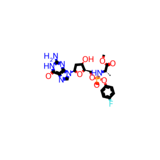 COC(=O)[C@H](C)NP(=O)(OC[C@H]1O[C@@H](n2cnc3c(=O)[nH]c(N)nc32)C[C@H]1O)Oc1ccc(F)cc1